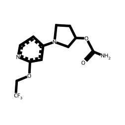 NC(=O)OC1CCN(c2ccnc(OCC(F)(F)F)c2)C1